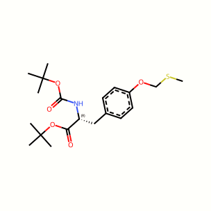 CSCOc1ccc(C[C@@H](NC(=O)OC(C)(C)C)C(=O)OC(C)(C)C)cc1